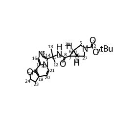 CC(C)(C)OC(=O)N1C[C@@H]2C(C(=O)NC(C)(C)c3ncc4c5c(ccn34)CCO5)[C@@H]2C1